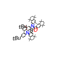 Cc1cc2c(cc1N1c3cc(C(C)(C)C)cc4c3B(c3cc5c(cc3N4c3ccc(C(C)(C)C)cc3-c3ccccc3)C(C)(C)CCC5(C)C)c3oc4cc5c(cc4c31)C(C)(C)CCC5(C)C)C(C)(C)CCC2(C)C